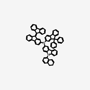 C1=Cc2c(cccc2-n2c3ccccc3c3cc(N(c4ccc5c(c4)C(=C4c6ccccc6-c6ccccc64)c4ccccc4-5)c4ccc5c(c4)C(c4ccccc4)(c4ccccc4)c4ccccc4-5)ccc32)CC1